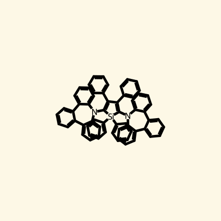 c1ccc(C2=C(N3c4ccccc4-c4ccccc4-c4ccccc43)[Si](c3ccccc3)(c3ccccc3)C(N3c4ccccc4-c4ccccc4-c4ccccc43)=C2c2ccccc2)cc1